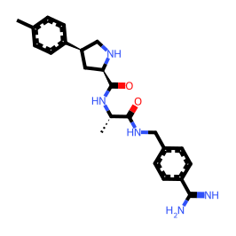 Cc1ccc([C@H]2CN[C@@H](C(=O)N[C@@H](C)C(=O)NCc3ccc(C(=N)N)cc3)C2)cc1